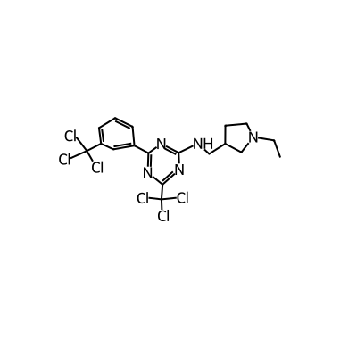 CCN1CCC(CNc2nc(-c3cccc(C(Cl)(Cl)Cl)c3)nc(C(Cl)(Cl)Cl)n2)C1